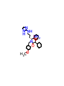 COc1ccc(CN(C(=O)C(c2ccccc2)c2ccccc2)[C@H](CCCNc2ncc[nH]2)C(N)=O)cc1